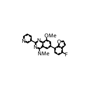 CNc1nc(-c2cccnc2)nc2c(OC)cc(-c3ccc(F)c4ccoc34)cc12